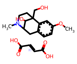 COc1ccc2c(c1)C1(CO)CCN(C)C(C2)C1O.O=C(O)/C=C/C(=O)O